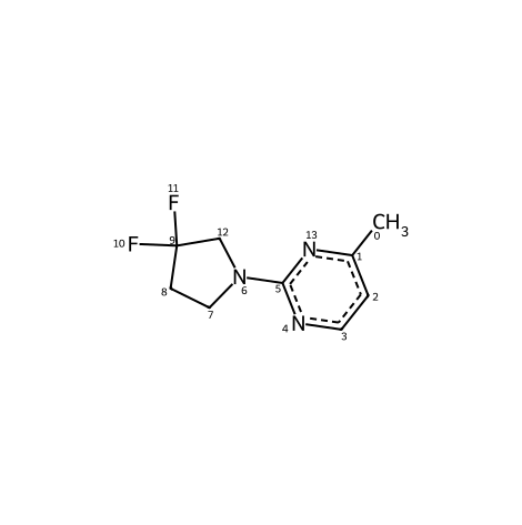 Cc1ccnc(N2CCC(F)(F)C2)n1